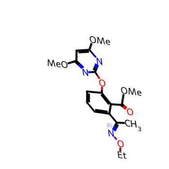 CCO/N=C(\C)c1cccc(Oc2nc(OC)cc(OC)n2)c1C(=O)OC